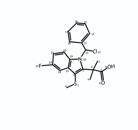 CSc1c(C(C)(C)C(=O)O)n(C(Cl)c2ccccc2)c2ccc(F)cc12